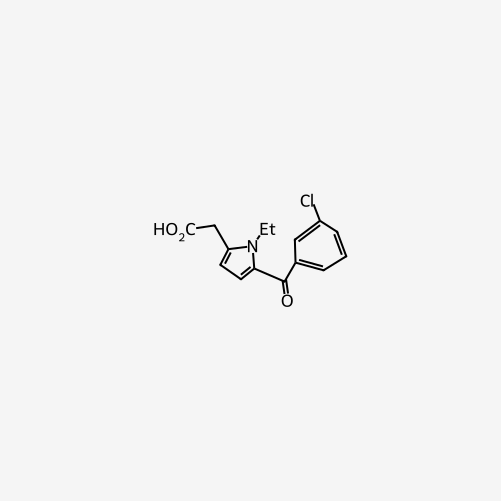 CCn1c(CC(=O)O)ccc1C(=O)c1cccc(Cl)c1